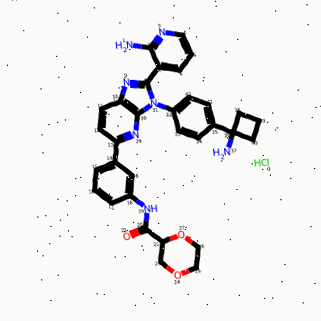 Cl.Nc1ncccc1-c1nc2ccc(-c3cccc(NC(=O)C4COCCO4)c3)nc2n1-c1ccc(C2(N)CCC2)cc1